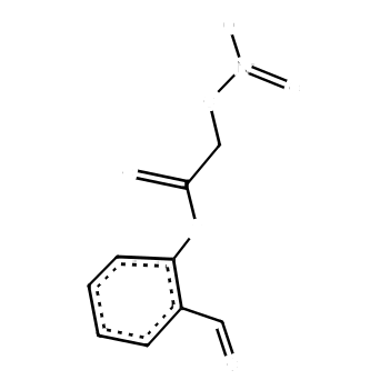 O=Cc1ccccc1OC(=O)CO[N+](=O)[O-]